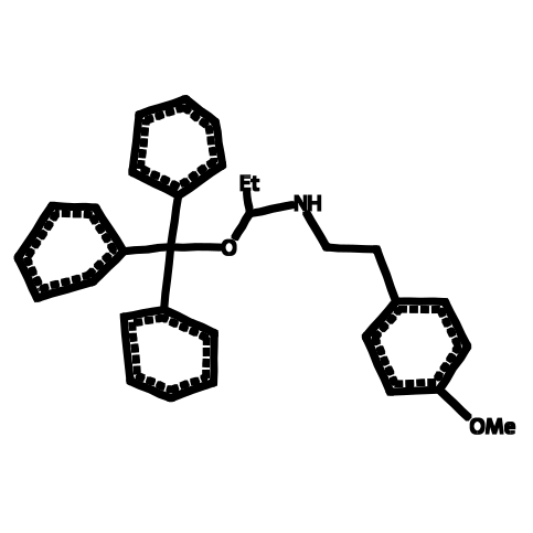 CCC(NCCc1ccc(OC)cc1)OC(c1ccccc1)(c1ccccc1)c1ccccc1